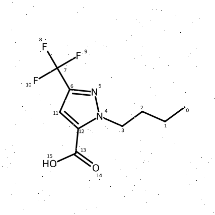 CCCCn1nc(C(F)(F)F)cc1C(=O)O